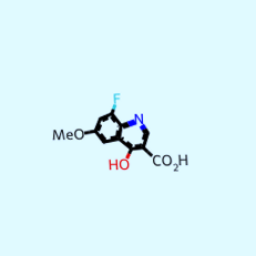 COc1cc(F)c2ncc(C(=O)O)c(O)c2c1